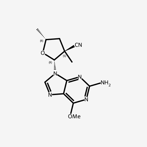 COc1nc(N)nc2c1ncn2[C@@H]1O[C@H](C)C[C@@]1(C)C#N